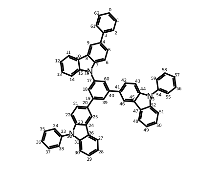 c1ccc(-c2ccc3c(c2)c2ccccc2n3-c2cc(-c3ccc4c(c3)c3ccccc3n4-c3ccccc3)cc(-c3ccc4c(c3)c3ccccc3n4-c3ccccc3)c2)cc1